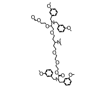 COc1cccc(CN(Cc2cccc(OC)c2)C(=O)OCCOCCOCCC(CCOCC(OCCOC=O)N(Cc2cccc(OC)c2)Cc2cccc(OC)c2)N(C)C)c1